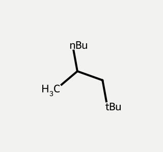 [CH2]CCCC(C)CC(C)(C)C